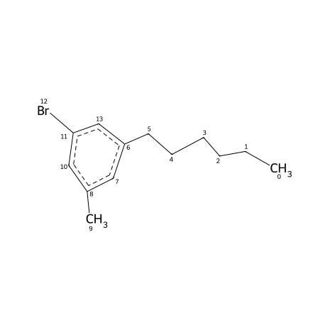 CCCCCCc1cc(C)cc(Br)c1